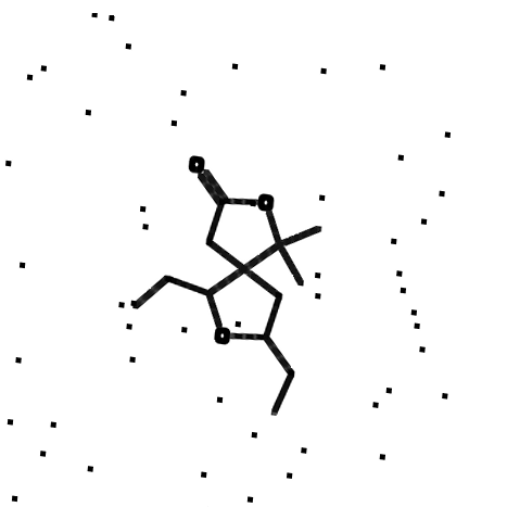 CCC1CC2(CC(=O)OC2(C)C)C(CC)O1